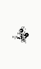 CN(C(=O)NCc1cccc(F)c1Cl)[C@H](CCCN)COC(=O)Nc1ccc(C(F)(F)F)cn1